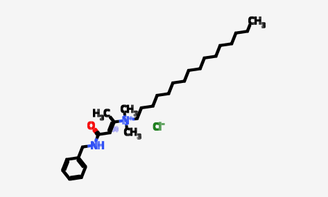 CCCCCCCCCCCCCCCC[N+](C)(C)/C(C)=C/C(=O)NCc1ccccc1.[Cl-]